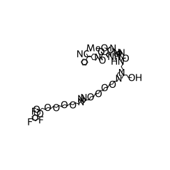 COc1cnc(-n2cnc(C(=O)NCCCN3CCN(CCOCCOCCOCCOCc4cn(CCOCCOCCOCCOCCC(=O)Oc5c(F)cc(F)cc5F)nn4)CC3CCO)n2)c2[nH]cc(C(=O)C(=O)N3CCC(=C(C#N)c4ccccc4)CC3)c12